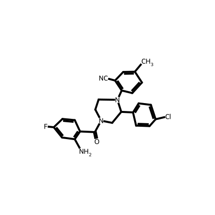 Cc1ccc(N2CCN(C(=O)c3ccc(F)cc3N)CC2c2ccc(Cl)cc2)c(C#N)c1